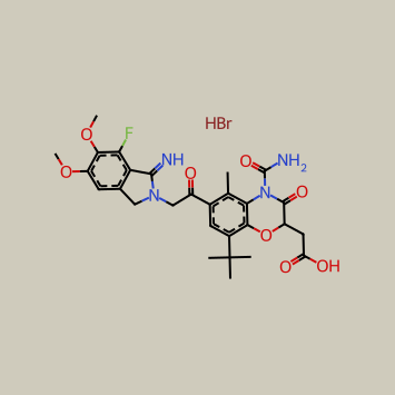 Br.COc1cc2c(c(F)c1OC)C(=N)N(CC(=O)c1cc(C(C)(C)C)c3c(c1C)N(C(N)=O)C(=O)C(CC(=O)O)O3)C2